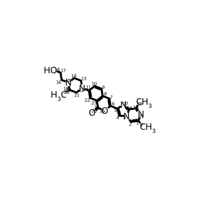 Cc1cn2cc(-c3cc4ccc(N5CCN(CCO)[C@H](C)C5)cc4c(=O)o3)nc2c(C)n1